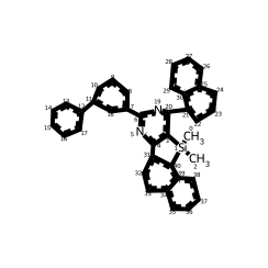 C[Si]1(C)c2c(nc(-c3cccc(-c4ccccc4)c3)nc2-c2cccc3ccccc23)-c2ccc3ccccc3c21